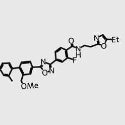 CCc1cnc(CCNC(=O)c2ccc(-c3noc(-c4ccc(-c5ccccc5C)c(COC)c4)n3)cc2F)o1